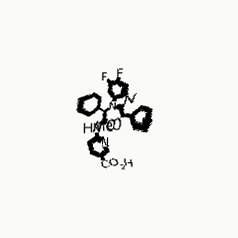 CO[C@@H](c1ccccc1)c1nc2cc(F)c(F)cc2n1[C@@H](C(=O)Nc1ccc(C(=O)O)cn1)C1CCCCC1